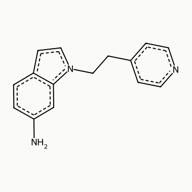 Nc1ccc2ccn(CCc3ccncc3)c2c1